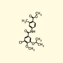 COC(=O)c1ccc(NC(=O)c2cc(Cl)c(OC)c(OC(C)C)c2)cc1C